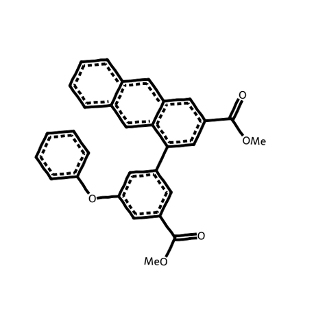 COC(=O)c1cc(Oc2ccccc2)cc(-c2cc(C(=O)OC)cc3cc4ccccc4cc23)c1